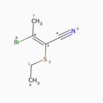 CCSC(C#N)=C(C)Br